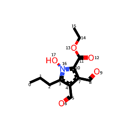 CCCc1c(C=O)c(C=O)c(C(=O)OCC)n1O